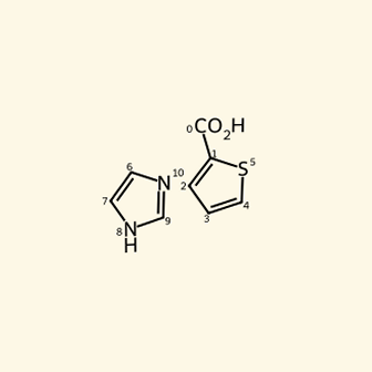 O=C(O)c1cccs1.c1c[nH]cn1